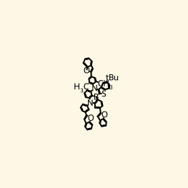 Cc1cc(-c2cc3ccccc3o2)cc(C)c1N1c2cccc3c2B(c2ccc(-c4cc5ccccc5o4)cc2N3c2cccc(-c3cc4ccccc4o3)c2)c2sc3ccc(C(C)(C)C)cc3c21